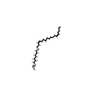 CCCC/C=C\CCCCCCCC/C=C\CCOCCCCCCCOOC